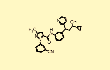 N#Cc1cccc(-n2nc(C(F)(F)F)cc2C(=O)Nc2cccc(C(CC(O)C3CC3)c3cccnc3)c2)c1